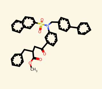 COC(=O)C(CC(=O)c1cccc(N(Cc2ccc(-c3ccccc3)cc2)S(=O)(=O)c2ccc3ccccc3c2)c1)Cc1ccccc1